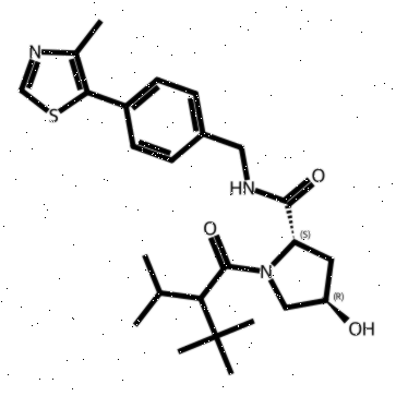 Cc1ncsc1-c1ccc(CNC(=O)[C@@H]2C[C@@H](O)CN2C(=O)C(C(C)C)C(C)(C)C)cc1